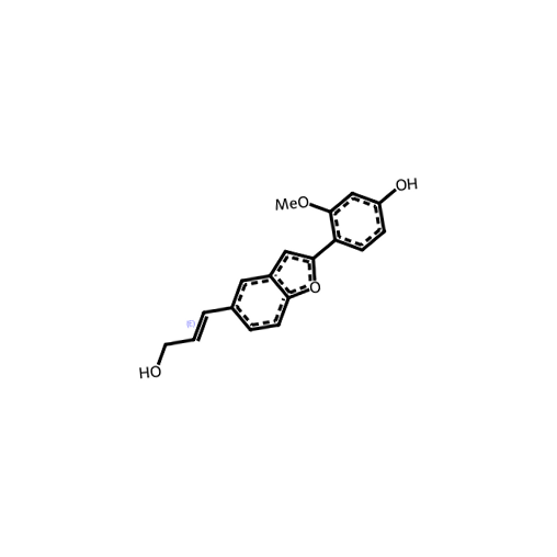 COc1cc(O)ccc1-c1cc2cc(/C=C/CO)ccc2o1